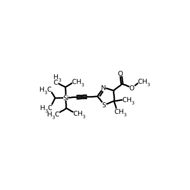 COC(=O)C1N=C(C#C[Si](C(C)C)(C(C)C)C(C)C)SC1(C)C